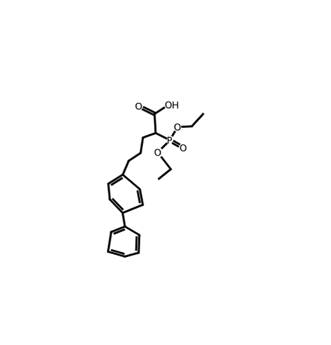 CCOP(=O)(OCC)C(CCCc1ccc(-c2ccccc2)cc1)C(=O)O